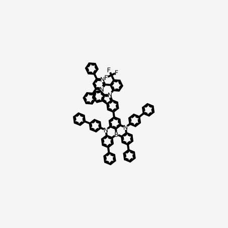 FC(F)(F)c1cccc(-n2c3ccccc3c3cc(-c4cc5c6c(c4)N(c4ccc(-c7ccccc7)cc4)c4ccc(-c7ccccc7)cc4B6c4cc(-c6ccccc6)ccc4N5c4ccc(-c5ccccc5)cc4)ccc32)c1-c1nc(-c2ccccc2)cc(-c2ccccc2)n1